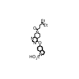 CCN(CC)CCC(=O)N1CCc2c(ncnc2Oc2ccc3c(ccn3C(=O)O)c2)C1